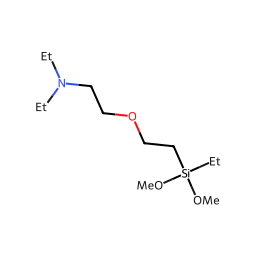 CCN(CC)CCOCC[Si](CC)(OC)OC